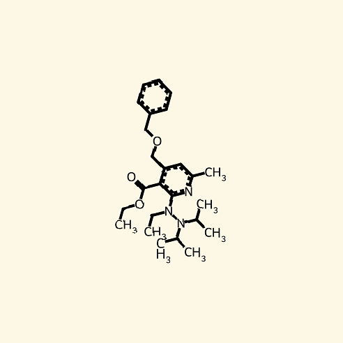 CCOC(=O)c1c(COCc2ccccc2)cc(C)nc1N(CC)N(C(C)C)C(C)C